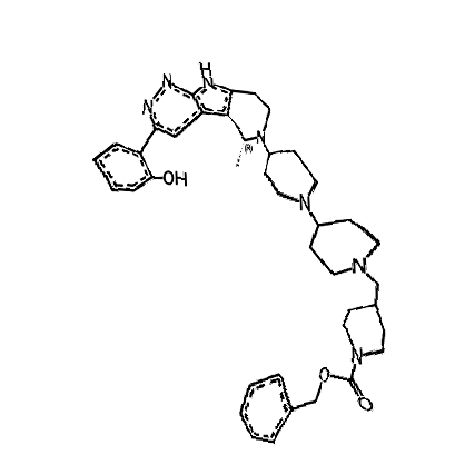 C[C@@H]1c2c([nH]c3nnc(-c4ccccc4O)cc23)CCN1C1CCN(C2CCN(CC3CCN(C(=O)OCc4ccccc4)CC3)CC2)CC1